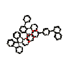 c1ccc(-c2ccccc2-c2c(-c3ccccc3)cccc2N(c2ccc(-c3ccc(-c4cccc5ccccc45)cc3)cc2)c2cccc3c2-c2ccccc2C32c3ccccc3-c3ccccc32)cc1